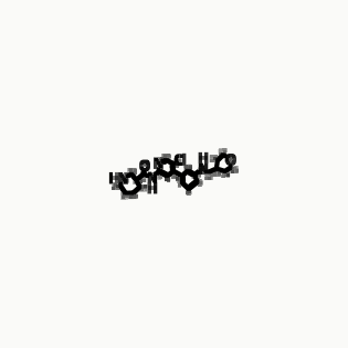 O=C(Nc1cc(-c2cccc(NCC3CCOCC3)c2)c(Cl)cn1)C1CCCCNC1